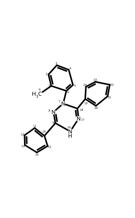 Cc1ccccc1N1N=C(c2ccccc2)NN=C1c1ccccc1